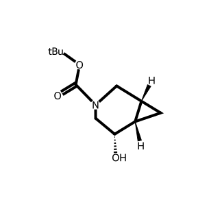 CC(C)(C)OC(=O)N1C[C@@H]2C[C@@H]2[C@H](O)C1